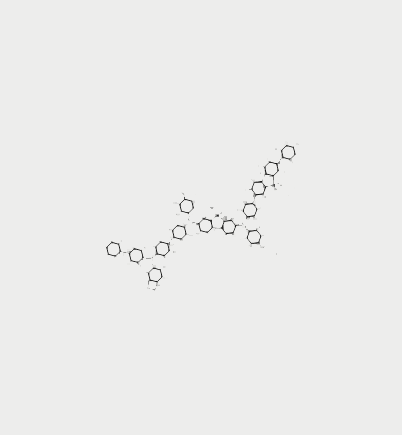 Cc1ccc(N(c2ccc(-c3ccc(N(c4ccc(-c5ccccc5)cc4)c4ccc5c(c4)CC5)cc3)cc2)c2ccc3c(c2)C(C)(C)c2cc(N(c4ccc(C)cc4)c4ccc(-c5ccc6c(c5)C(C)(C)c5cc(-c7ccccc7)ccc5-6)cc4)ccc2-3)cc1